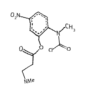 CNCCC(=O)Oc1cc([N+](=O)[O-])ccc1N(C)C(=O)Cl